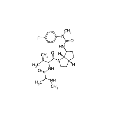 C=C(C)[C@H](NC(=O)[C@H](C)NC)C(=O)N1CC[C@H]2CC[C@H](NC(=O)N(C)c3ccc(F)cc3)[C@H]21